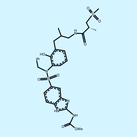 COC(=O)Nc1nc2cc(S(=O)(=O)N(CC(C)C)c3cccc(CC(C)CNC(=O)[C@@H](C)CS(C)(=O)=O)c3O)ccc2[nH]1